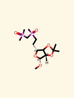 CO[C@@H]1O[C@H](CCP(C)(=O)CP(C)(C)=O)C2OC(C)(C)O[C@@H]21